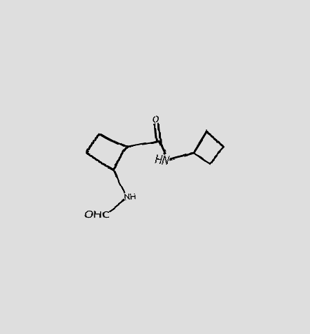 O=CNC1CCC1C(=O)N[C]1CCC1